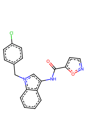 O=C(Nc1cn(Cc2ccc(Cl)cc2)c2ccccc12)c1ccno1